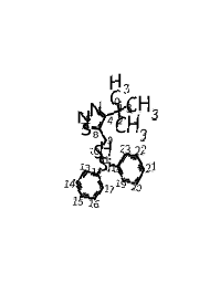 CC(C)(C)c1nnsc1CS[SiH](c1ccccc1)c1ccccc1